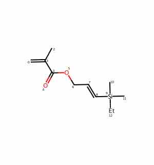 C=C(C)C(=O)OCC=C[Si](C)(C)CC